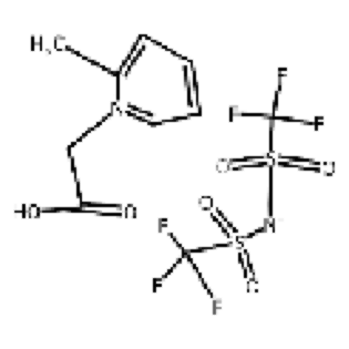 Cc1cccc[n+]1CC(=O)O.O=S(=O)([N-]S(=O)(=O)C(F)(F)F)C(F)(F)F